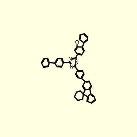 c1ccc(-c2ccc(-c3nc(-c4ccc(-c5ccc6c(c5)C5(CCCCC5)c5ccccc5-6)cc4)nc(-c4ccc5c(c4)oc4ccccc45)n3)cc2)cc1